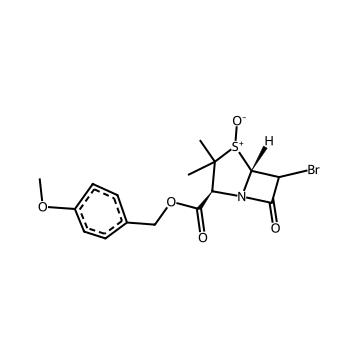 COc1ccc(COC(=O)[C@@H]2N3C(=O)C(Br)[C@H]3[S+]([O-])C2(C)C)cc1